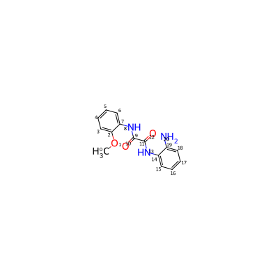 COc1ccccc1NC(=O)C(=O)Nc1ccccc1N